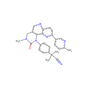 Cc1ccc(-c2ccc3ncc4c(c3n2)N(c2ccc(C(C)(C)C#N)cc2)C(=O)N(C)C4)cn1